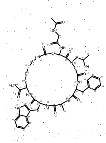 CC(=O)NCC(=O)NC1CC(=O)NCCCCC(C(N)=O)NC(=O)[C@H](Cc2c[nH]c3ccccc23)NC(=O)C(C)NC(=O)C(Cc2ccccc2)NC(=O)CN(CC(C)O)C1=O